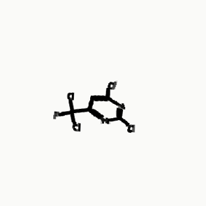 FC(Cl)(Cl)c1cc(Cl)nc(Cl)n1